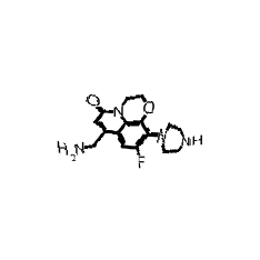 NCc1cc(=O)n2c3c(c(N4CCNCC4)c(F)cc13)OCC2